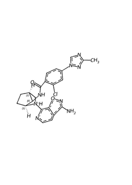 Cc1ncn(-c2ccc(C(=O)N[C@@H]3[C@H]4CC[C@@H]3N(c3nccc5c(N)noc35)C4)c(Cl)c2)n1